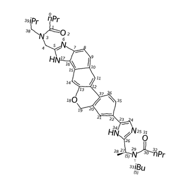 CCCC(=O)N(Cc1nc2ccc3cc4c(cc3c2[nH]1)OCc1cc(-c2cnc([C@H](C)N(C(=O)CCC)[C@@H](C)CC)[nH]2)ccc1-4)CC(C)C